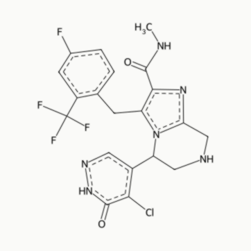 CNC(=O)c1nc2n(c1Cc1ccc(F)cc1C(F)(F)F)C(c1cn[nH]c(=O)c1Cl)CNC2